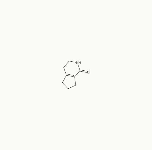 O=C1NCCC2=C1CCC2